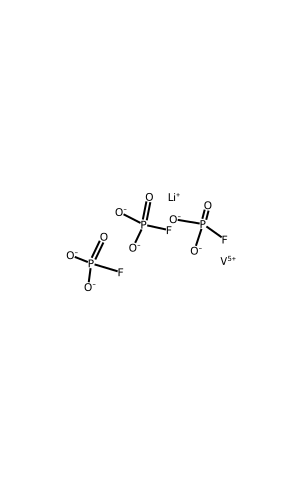 O=P([O-])([O-])F.O=P([O-])([O-])F.O=P([O-])([O-])F.[Li+].[V+5]